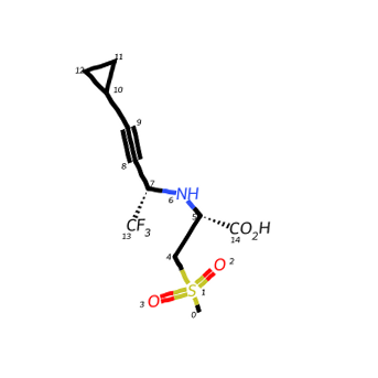 CS(=O)(=O)C[C@H](N[C@@H](C#CC1CC1)C(F)(F)F)C(=O)O